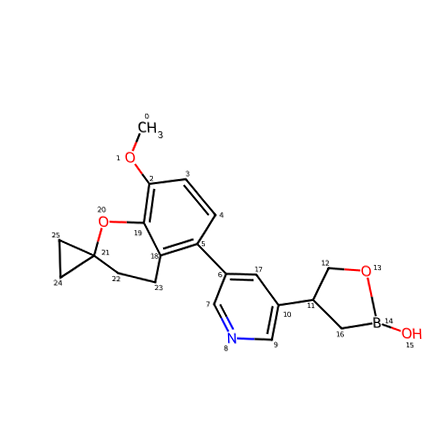 COc1ccc(-c2cncc(C3COB(O)C3)c2)c2c1OC1(CC2)CC1